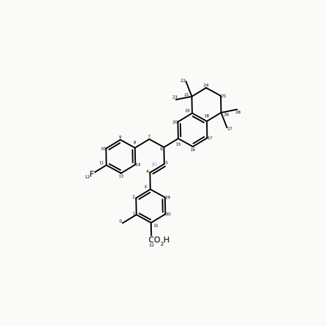 Cc1cc(/C=C/C(Cc2ccc(F)cc2)c2ccc3c(c2)C(C)(C)CCC3(C)C)ccc1C(=O)O